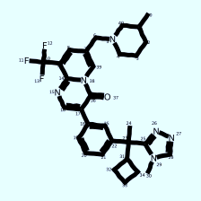 CC1CCCN(Cc2cc(C(F)(F)F)c3ncc(-c4cccc(C(C)(c5nncn5C)C5CCC5)c4)c(=O)n3c2)C1